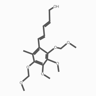 COCOc1c(C)c(/C=C/C=C/CO)c(OCOC)c(OC)c1OC